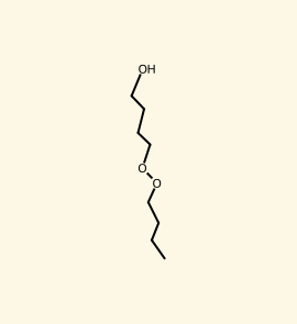 CCCCOOCCCCO